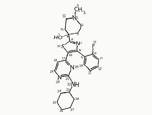 CN1CCC(O)(c2nc(-c3ccccc3F)c(-c3ccnc(NC4CCCCC4)n3)s2)CC1